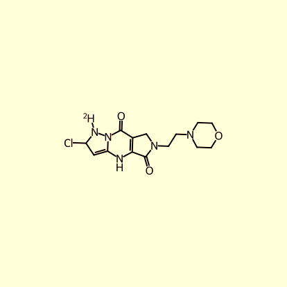 [2H]N1C(Cl)C=C2NC3=C(CN(CCN4CCOCC4)C3=O)C(=O)N21